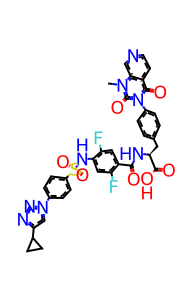 Cn1c(=O)n(-c2ccc(C[C@H](NC(=O)c3cc(F)c(NS(=O)(=O)c4ccc(-n5cc(C6CC6)nn5)cc4)cc3F)C(=O)O)cc2)c(=O)c2ccncc21